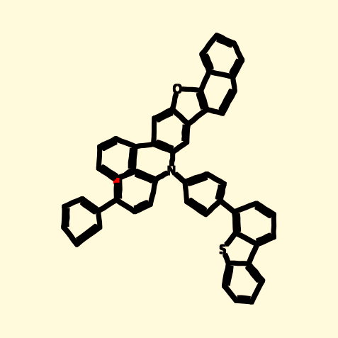 c1ccc(-c2ccc(N(c3ccc(-c4cccc5c4sc4ccccc45)cc3)c3cc4c(cc3-c3ccccc3)oc3c5ccccc5ccc43)cc2)cc1